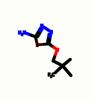 CC(C)(COc1nnc(N)s1)C(F)(F)F